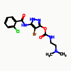 CN(C)CCNC(=O)Oc1n[nH]c(NC(=O)c2ccccc2Cl)c1Br